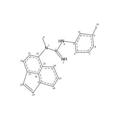 CN(C(=N)Nc1cccc(I)c1)c1ccc2c3c(cccc13)C=C2